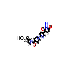 O=C1CCC(c2ccc(N3CCC(C(=O)N4CCC(C(=O)O)C4)CC3)nc2)C(=O)N1